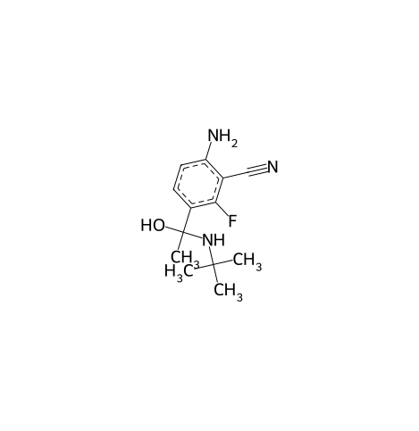 CC(C)(C)NC(C)(O)c1ccc(N)c(C#N)c1F